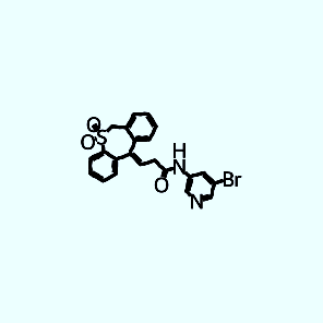 O=C(C/C=C1\c2ccccc2CS(=O)(=O)c2ccccc21)Nc1cncc(Br)c1